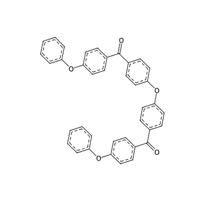 O=C(c1ccc(Oc2ccccc2)cc1)c1ccc(Oc2ccc(C(=O)c3ccc(Oc4ccccc4)cc3)cc2)cc1